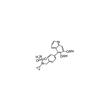 COc1cc2ncccc2c(-c2ccc(CN(C3CC3)S(N)(=O)=O)cc2)c1OC